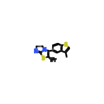 Cc1csc2ccc(C3=C(C(C)C)SC4=NCCN43)cc12